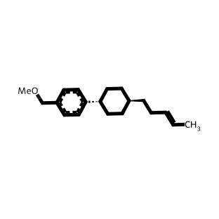 CC=CCC[C@H]1CC[C@H](c2ccc(COC)cc2)CC1